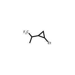 CCC1CC1C(C)C(F)(F)F